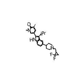 Cc1cc(-c2[nH]c3ccc(C4CCN(CC5CC5(F)F)CC4)cc3c2C(C)C)cn(C)c1=O